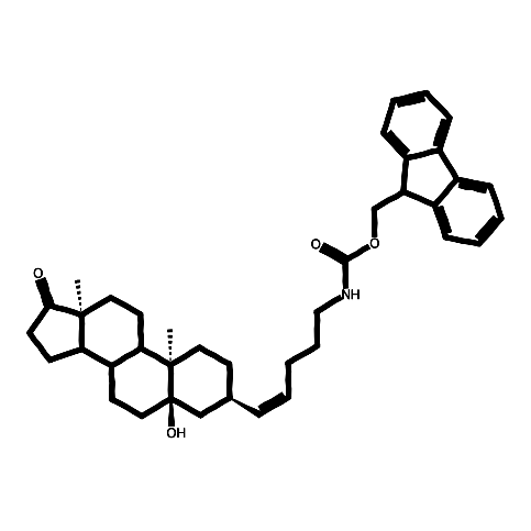 C[C@]12CCC3C(CC[C@@]4(O)C[C@H](/C=C\CCCNC(=O)OCC5c6ccccc6-c6ccccc65)CC[C@]34C)C1CCC2=O